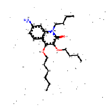 CCCCCCOc1c(OCCCC)c(=O)n(CCCC)c2cc(N)ccc12